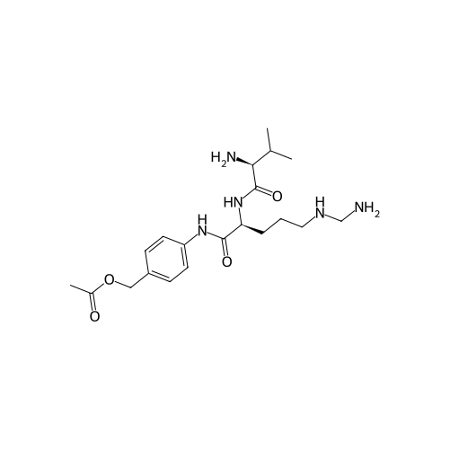 CC(=O)OCc1ccc(NC(=O)[C@H](CCCNCN)NC(=O)[C@@H](N)C(C)C)cc1